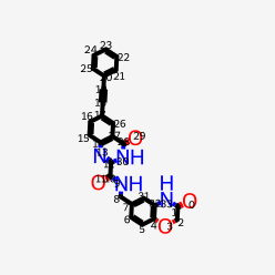 O=C1COc2ccc(CNC(=O)c3nc4ccc(C#Cc5ccccc5)cc4c(=O)[nH]3)cc2N1